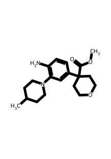 COC(=O)C1(c2ccc(N)c(N3CCC(C)CC3)c2)CCOCC1